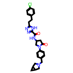 O=C(NC1CC(=O)N(c2ccc(CN3CC4CC4C3)cc2)C1)c1nnc(CCc2ccc(Cl)cc2)[nH]1